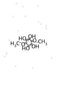 CCO[C@@H]1[C@H](O)[C@@H](O)[C@H](OCC)[C@@H](O)[C@@H]1O